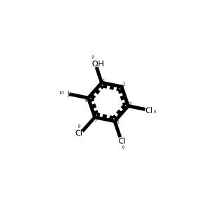 Oc1cc(Cl)c(Cl)c(Cl)c1I